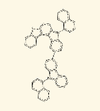 c1ccc2c(-n3c4ccccc4c4cc(-c5ccc6c(c5)c5c7c(ccc5n6-c5cccc6ccccc56)sc5ccccc57)ccc43)cccc2c1